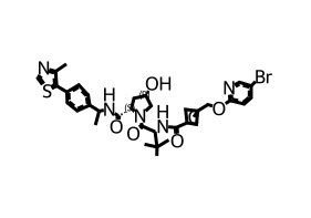 Cc1ncsc1-c1ccc(C(C)NC(=O)[C@@H]2C[C@@H](O)CN2C(=O)C(NC(=O)C23CC(COc4ccc(Br)cn4)(C2)C3)C(C)(C)C)cc1